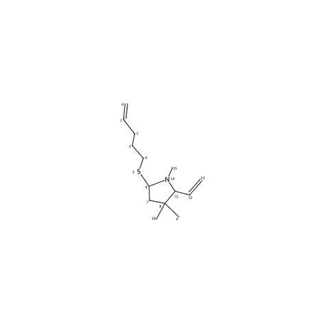 C=CCCCSC1CC(C)(C)C(C=C)N1C